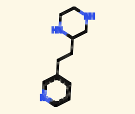 c1cncc(CCC2CNCCN2)c1